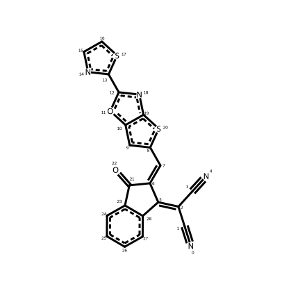 N#CC(C#N)=C1/C(=C/c2cc3oc(-c4nccs4)nc3s2)C(=O)c2ccccc21